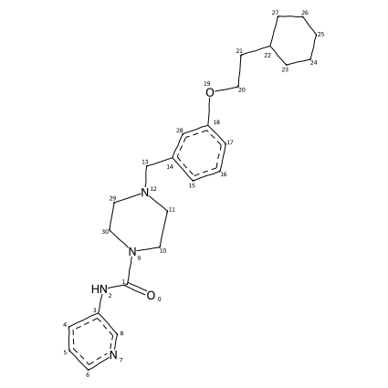 O=C(Nc1cccnc1)N1CCN(Cc2cccc(OCCC3CCCCC3)c2)CC1